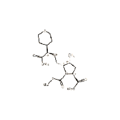 COC(=O)[C@H](NC[C@@H]1[C@H](C)C[C@@H](C(=O)OC)N1C(=O)OC(C)(C)C)C1CCOCC1